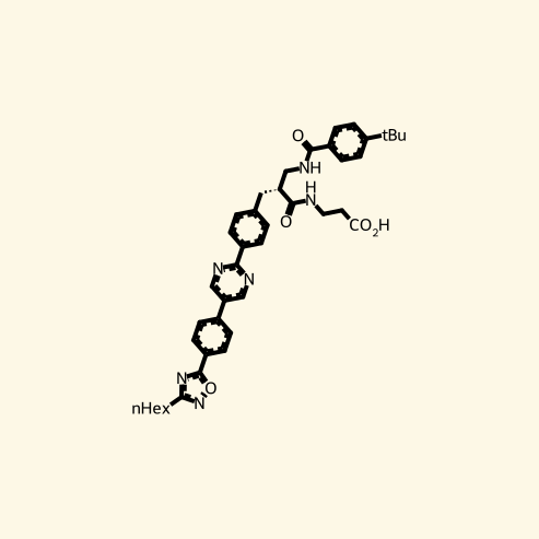 CCCCCCc1noc(-c2ccc(-c3cnc(-c4ccc(C[C@H](CNC(=O)c5ccc(C(C)(C)C)cc5)C(=O)NCCC(=O)O)cc4)nc3)cc2)n1